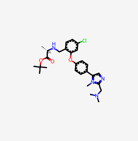 C[C@H](NCc1ccc(Cl)cc1Oc1ccc(-c2cnc(CN(C)C)n2C)cc1)C(=O)OC(C)(C)C